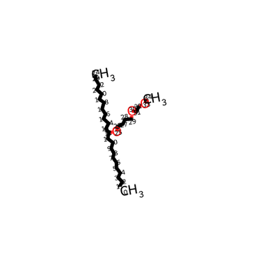 CCCCCCCCCCCCC(CCCCCCCCCCCC)OCCCCOCCOC